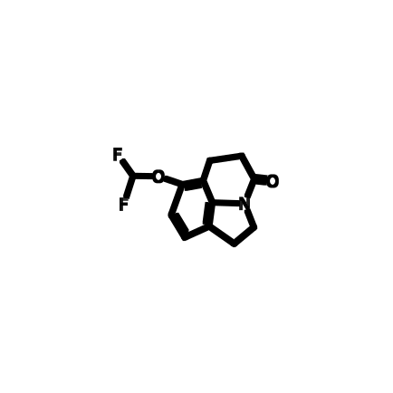 O=C1CCc2c(OC(F)F)ccc3c2N1CC3